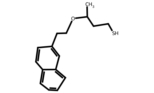 CC(CCS)OCCc1ccc2ccccc2c1